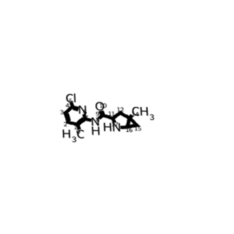 Cc1ccc(Cl)nc1NC(=O)C1CC2(C)CC2N1